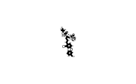 COP(=O)(OC)OC[C@@](C)(CCCc1ccc(Oc2cccc(C)c2)cc1Cl)NC(=O)OC(C)(C)C